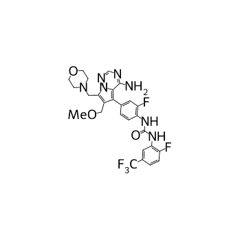 COCc1c(-c2ccc(NC(=O)Nc3cc(C(F)(F)F)ccc3F)c(F)c2)c2c(N)ncnn2c1CN1CCOCC1